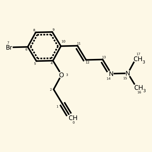 C#CCOc1cc(Br)ccc1C=CC=NN(C)C